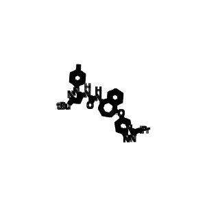 Cc1ccc(-n2nc(C(C)(C)C)cc2NC(=O)N[C@@H]2CCC[C@H](Oc3ccc4nnc(C(C)C)n4c3)c3ccccc32)cc1